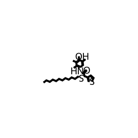 CCCCCCCCCCCCSC(C(=O)Nc1cc(C)c(O)c(C)c1C)c1ccsc1